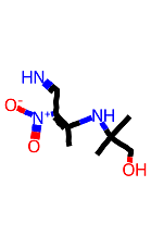 C/C(NC(C)(C)CO)=C(/C=N)[N+](=O)[O-]